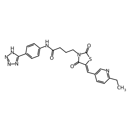 CCc1ccc(/C=C2\SC(=O)N(CCCC(=O)Nc3ccc(-c4nnn[nH]4)cc3)C2=O)cn1